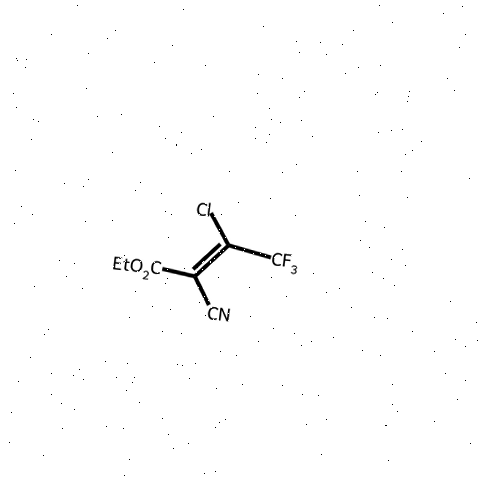 CCOC(=O)C(C#N)=C(Cl)C(F)(F)F